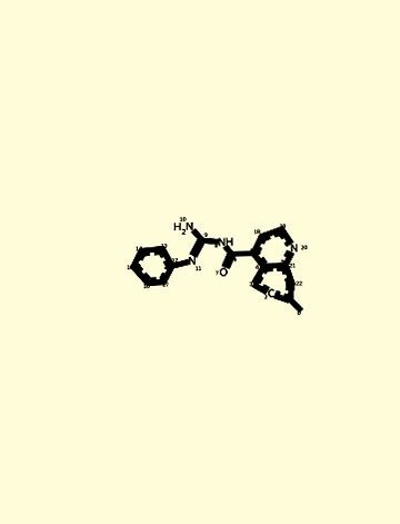 Cc1ccc2c(C(=O)NC(N)=Nc3ccccc3)ccnc2c1